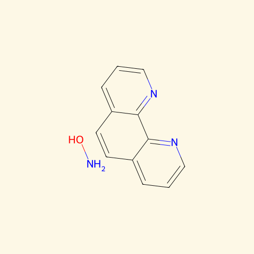 NO.c1cnc2c(c1)ccc1cccnc12